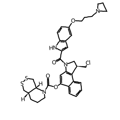 O=C(c1cc2cc(OCCCN3CCC3)ccc2[nH]1)N1C[C@@H](CCl)c2c1cc(OC(=O)N1CCC[C@@H]3CSSC[C@@H]31)c1ccccc21